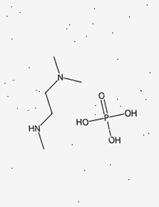 CNCCN(C)C.O=P(O)(O)O